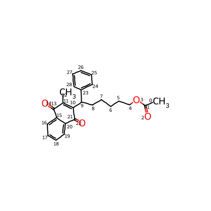 CC(=O)OCCCCCC(C1=C(C)C(=O)c2ccccc2C1=O)c1ccccc1